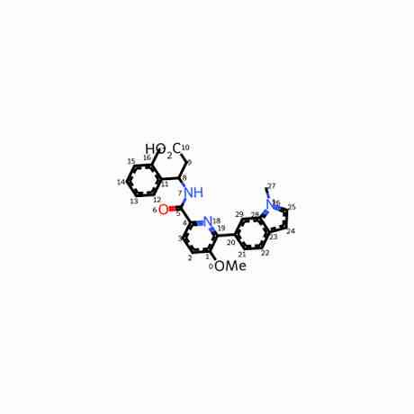 COc1ccc(C(=O)NC(CC(=O)O)c2ccccc2C)nc1-c1ccc2ccn(C)c2c1